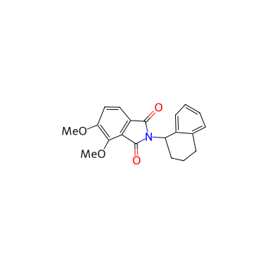 COc1ccc2c(c1OC)C(=O)N(C1CCCc3ccccc31)C2=O